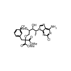 COC(=O)C(Cc1cccc(C(F)(F)F)c1)(OC[C@@H](OC)[C@@H](O)[C@H](F)n1cnc2c(N)nc(Cl)nc21)C(=O)OC